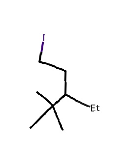 CCC(CCI)C(C)(C)C